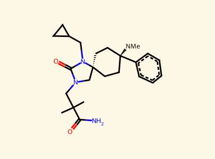 CN[C@]1(c2ccccc2)CC[C@]2(CC1)CN(CC(C)(C)C(N)=O)C(=O)N2CC1CC1